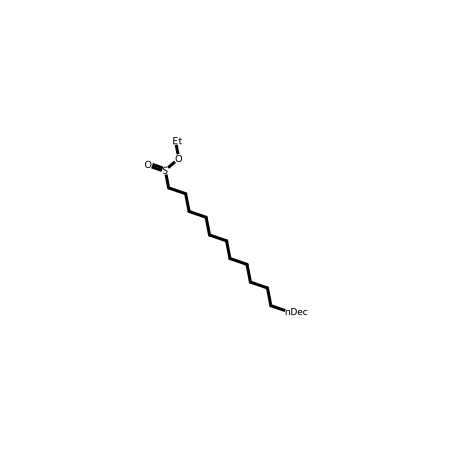 CCCCCCCCCCCCCCCCCCCCCS(=O)OCC